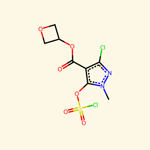 Cn1nc(Cl)c(C(=O)OC2COC2)c1OS(=O)(=O)Cl